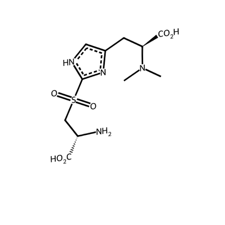 CN(C)[C@@H](Cc1c[nH]c(S(=O)(=O)C[C@H](N)C(=O)O)n1)C(=O)O